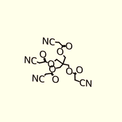 N#CCC(=O)OCC(COC(=O)CC#N)(COC(=O)CC#N)COC(=O)CC#N